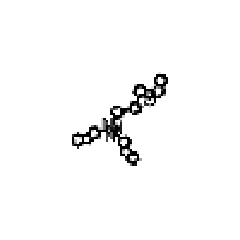 c1cc(-c2cccc(-c3cccc4c3oc3ccc5ccccc5c34)c2)cc(-c2nc(-c3ccc4c(c3)Cc3ccccc3-4)nc(-c3ccc4c(c3)Cc3ccccc3-4)n2)c1